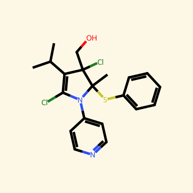 CC(C)C1=C(Cl)N(c2ccncc2)C(C)(Sc2ccccc2)C1(Cl)CO